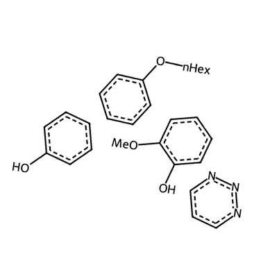 CCCCCCOc1ccccc1.COc1ccccc1O.Oc1ccccc1.c1cnnnc1